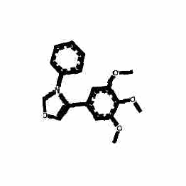 COc1cc(C2=COCN2c2ccccc2)cc(OC)c1OC